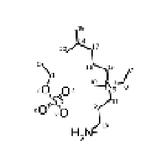 CCOS(=O)(=O)[O-].CC[N+](C)(CCCN)CCCC(C)C